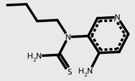 CCCCN(C(N)=S)c1cnccc1N